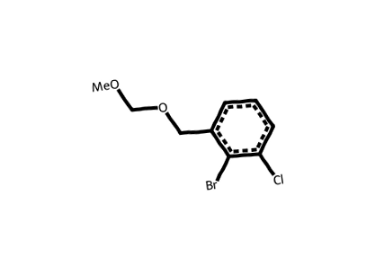 COCOCc1cccc(Cl)c1Br